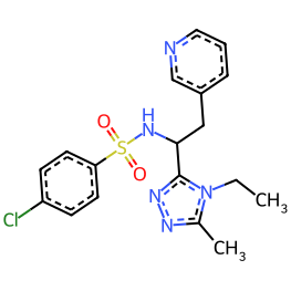 CCn1c(C)nnc1C(Cc1cccnc1)NS(=O)(=O)c1ccc(Cl)cc1